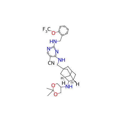 CC1(C)OCC(NC2[C@@H]3CC4C[C@H]2CC(CNc2nc(NCc5ccccc5OC(F)(F)F)ncc2C#N)(C4)C3)CO1